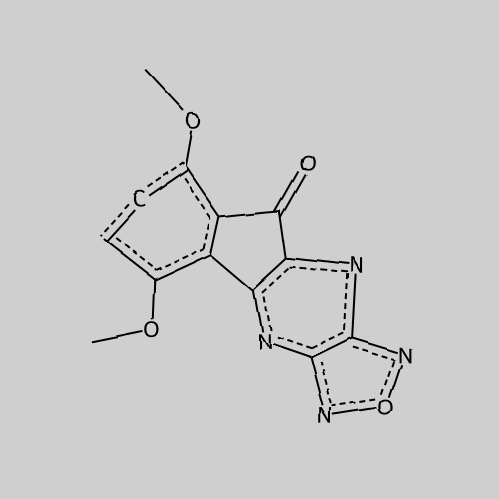 COc1ccc(OC)c2c1C(=O)c1nc3nonc3nc1-2